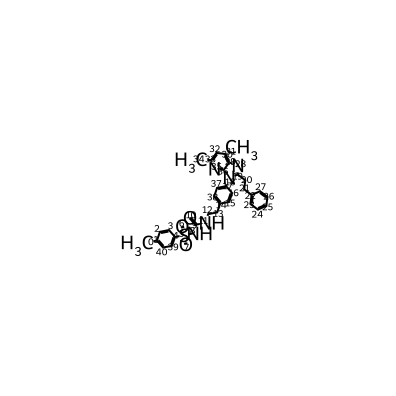 Cc1ccc(S(=O)(=O)NC(=O)NCCc2ccc(-n3c(CCc4ccccc4)nc4c(C)cc(C)nc43)cc2)cc1